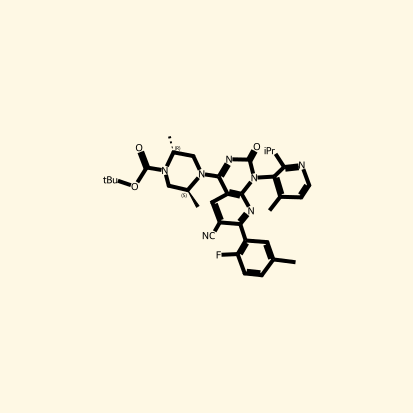 Cc1ccc(F)c(-c2nc3c(cc2C#N)c(N2C[C@@H](C)N(C(=O)OC(C)(C)C)C[C@@H]2C)nc(=O)n3-c2c(C)ccnc2C(C)C)c1